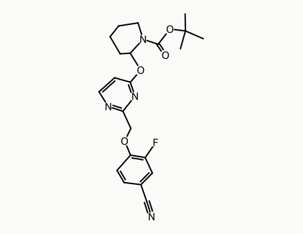 CC(C)(C)OC(=O)N1CCCCC1Oc1ccnc(COc2ccc(C#N)cc2F)n1